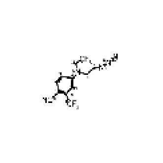 N#Cc1ccc(N(CCN=[N+]=[N-])CC(F)(F)F)cc1C(F)(F)F